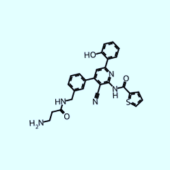 N#Cc1c(-c2cccc(CNC(=O)CCN)c2)cc(-c2ccccc2O)nc1NC(=O)c1cccs1